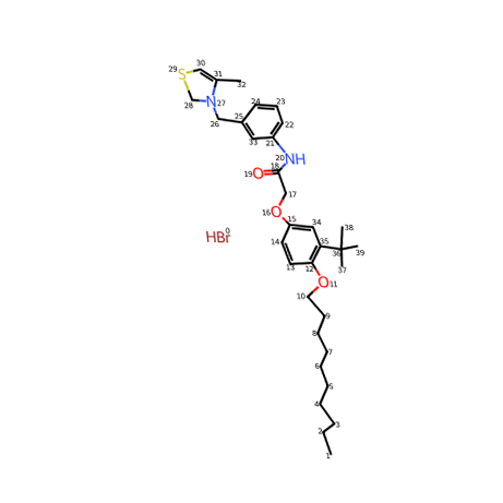 Br.CCCCCCCCCCOc1ccc(OCC(=O)Nc2cccc(CN3CSC=C3C)c2)cc1C(C)(C)C